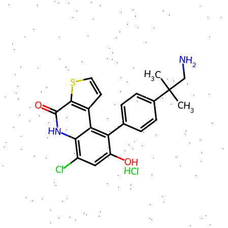 CC(C)(CN)c1ccc(-c2c(O)cc(Cl)c3[nH]c(=O)c4sccc4c23)cc1.Cl